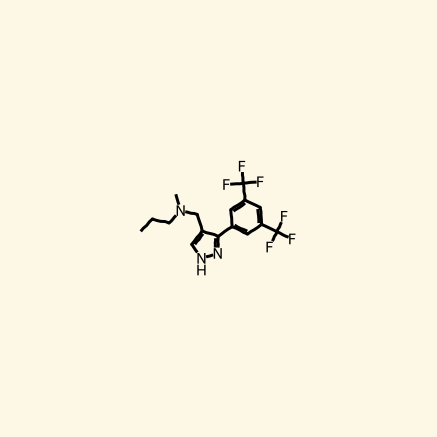 CCCN(C)Cc1c[nH]nc1-c1cc(C(F)(F)F)cc(C(F)(F)F)c1